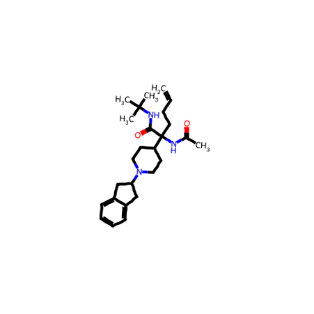 C=CCCC(NC(C)=O)(C(=O)NC(C)(C)C)C1CCN(C2Cc3ccccc3C2)CC1